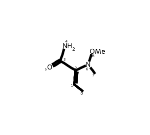 C/C=C(/C(N)=O)N(C)OC